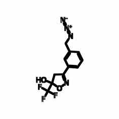 [N-]=[N+]=NCc1cccc(C2=NOC(O)(C(F)(F)F)C2)c1